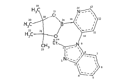 CCc1nc2ccccc2n1-c1cccnc1B1OC(C)(C)C(C)(C)O1